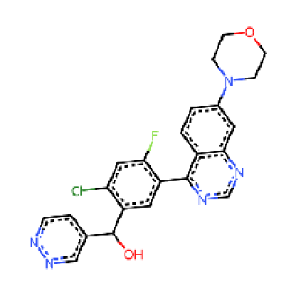 OC(c1ccnnc1)c1cc(-c2ncnc3cc(N4CCOCC4)ccc23)c(F)cc1Cl